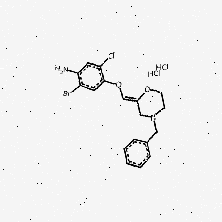 Cl.Cl.Nc1cc(Cl)c(OC=C2CN(Cc3ccccc3)CCO2)cc1Br